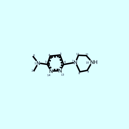 CN(C)c1ccc(N2CCNCC2)nn1